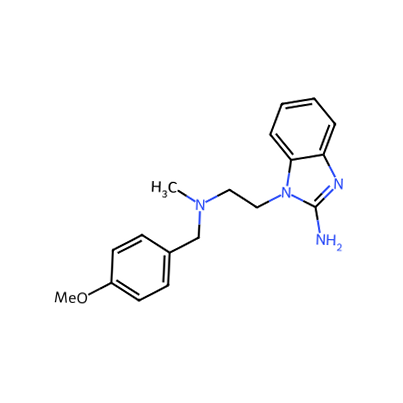 COc1ccc(CN(C)CCn2c(N)nc3ccccc32)cc1